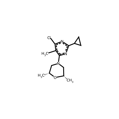 Cc1c(Cl)nc(C2CC2)nc1N1C[C@@H](C)O[C@@H](C)C1